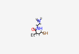 CCC(CCS)C(=O)NCCN(C)C